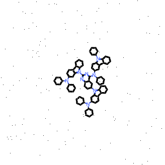 c1ccc(N(c2ccccc2)c2ccc3c4ccccc4n(-c4ccc5nc(-n6c7ccccc7c7ccc(N(c8ccccc8)c8ccccc8)cc76)nc(N(c6ccccc6)c6ccc7c(c6)c6ccccc6n7-c6ccccc6)c5c4)c3c2)cc1